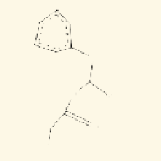 CC(=O)CC(=O)OC(C)Oc1ccccc1